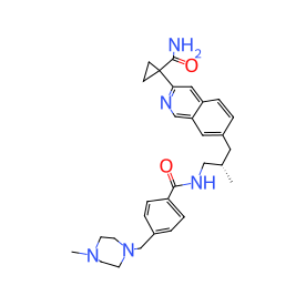 C[C@H](CNC(=O)c1ccc(CN2CCN(C)CC2)cc1)Cc1ccc2cc(C3(C(N)=O)CC3)ncc2c1